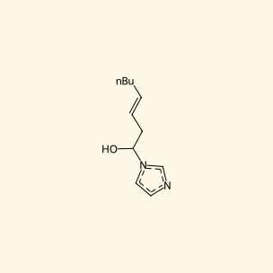 CCCCC=CCC(O)n1ccnc1